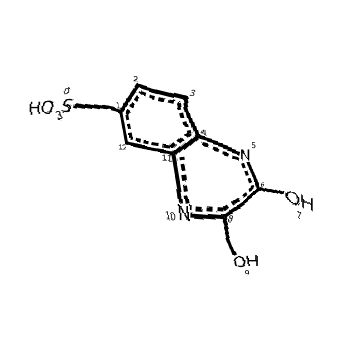 O=S(=O)(O)c1ccc2nc(O)c(O)nc2c1